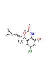 O=C1Nc2c(O)cc(Cl)cc2C(C#CC2CC2)(C(F)(F)F)O1